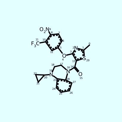 Cc1nc(Oc2ccc([N+](=O)[O-])c(C(F)(F)F)c2)c(C(=O)N2CCN(C3CC3)c3ccccc32)s1